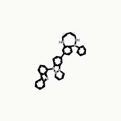 B1/C=C\C=C/Nc2cc(-c3ccc4c(c3)N3C=CC=CB3N4c3cccc4c3sc3ccccc34)ccc2N1c1ccccc1